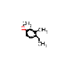 CCc1ccc(OC)cc1C